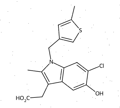 Cc1cc(Cn2c(C)c(CC(=O)O)c3cc(O)c(Cl)cc32)cs1